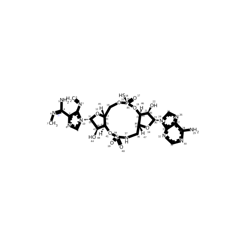 C=Nc1c(/C(N)=N\C)ncn1[C@@H]1O[C@@H]2CO[P@@](=O)(S)O[C@H]3[C@@H](O)[C@H](n4cnc5c(N)ncnc54)O[C@@H]3CNS(=O)(=O)O[C@H]2[C@H]1O